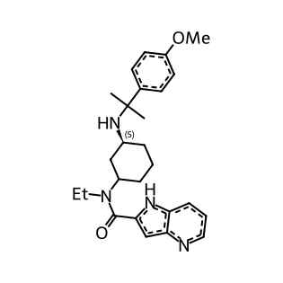 CCN(C(=O)c1cc2ncccc2[nH]1)C1CCC[C@H](NC(C)(C)c2ccc(OC)cc2)C1